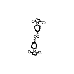 O=C1C=CC(=O)N1c1ccc(SSc2ccc(N3C(=O)C=CC3=O)cc2)cc1